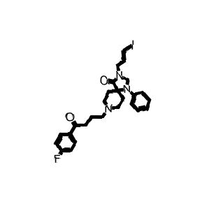 O=C(CCCN1CCC2(CC1)C(=O)N(C/C=C/I)CN2c1ccccc1)c1ccc(F)cc1